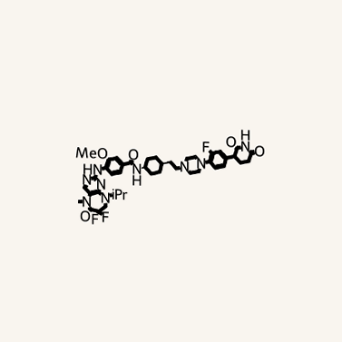 COc1cc(C(=O)N[C@H]2CC[C@H](CCN3CCN(c4ccc(C5CCC(=O)NC5=O)cc4F)CC3)CC2)ccc1Nc1ncc2c(n1)N(C(C)C)CC(F)(F)C(=O)N2C